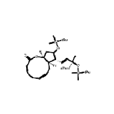 CCCCC[C@@](C)(/C=C/[C@H]1C(O[Si](C)(C)C(C)(C)C)C[C@@H]2OC(=O)CCC/C=C\C[C@@H]21)O[Si](C)(C)C(C)(C)C